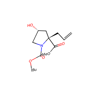 C=CC[C@]1(C(=O)OC)C[C@@H](O)CN1C(=O)OC(C)(C)C